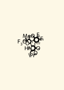 COc1c([C@H]2[C@H](c3cc(=O)c(OC(C)C)c(C)[nH]3)O[C@@](C)(C(F)(F)F)[C@H]2C)ccc(F)c1F